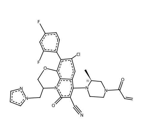 C=CC(=O)N1CCN(c2c(C#N)c(=O)n3c4c(c(-c5ccc(F)cc5F)c(Cl)cc24)OCC3Cn2cccn2)[C@@H](C)C1